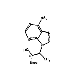 CCCCCC[C@H](O)C(C)n1cnc2c(N)ncnc21